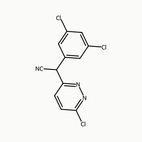 N#CC(c1cc(Cl)cc(Cl)c1)c1ccc(Cl)nn1